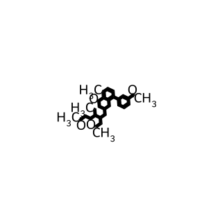 CCCC(CC1CC(=O)c2c(C)ccc(-c3cccc(C(C)=O)c3)c2C1)C(CC)C(=O)CC(C)=O